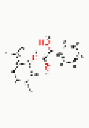 CC1CCC(C(C)C)C(OC(=O)C(O)c2ccccc2)C1